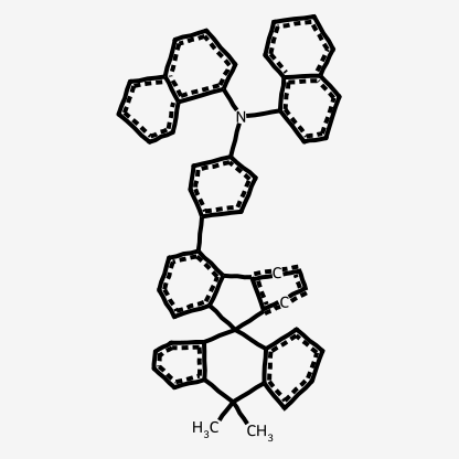 CC1(C)c2ccccc2C2(c3ccccc3-c3c(-c4ccc(N(c5cccc6ccccc56)c5cccc6ccccc56)cc4)cccc32)c2ccccc21